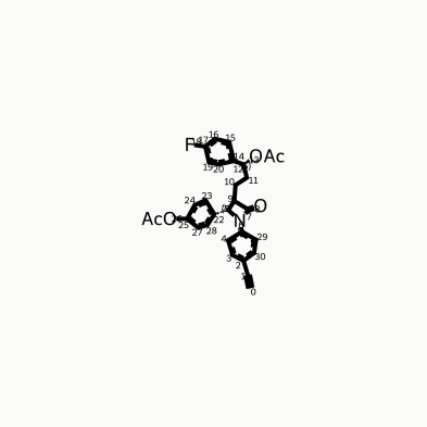 C#Cc1ccc(N2C(=O)C(CC[C@H](OC(C)=O)c3ccc(F)cc3)[C@H]2c2ccc(OC(C)=O)cc2)cc1